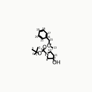 CC(C)(C)OC(=O)N1CC(O)C[C@H]1COCc1ccccc1